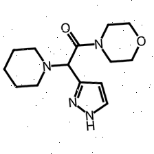 O=C(C(c1cc[nH]n1)N1CCCCC1)N1CCOCC1